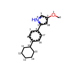 COc1c[nH]c(-c2ccc(C3CCCCC3)cc2)c1